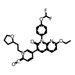 CCOc1ccc2cc(C3=CN(CCC4CCCO4)C(=C=O)C=C3)c(=O)n(-c3ccc(OC(F)F)cc3)c2n1